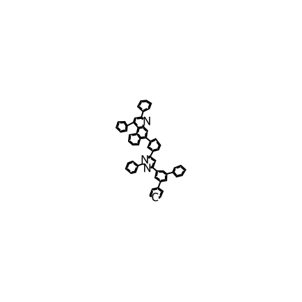 c1ccc(-c2cc(-c3ccccc3)cc(-c3cc(-c4cccc(-c5cc6nc(-c7ccccc7)cc(-c7ccccc7)c6c6ccccc56)c4)nc(-c4ccccc4)n3)c2)cc1